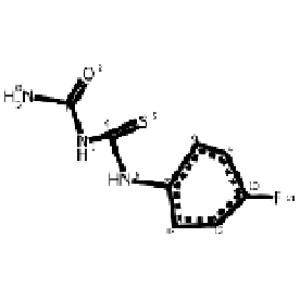 NC(=O)NC(=S)Nc1ccc(F)cc1